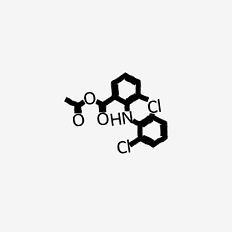 CC(=O)OC(=O)c1cccc(C)c1Nc1c(Cl)cccc1Cl